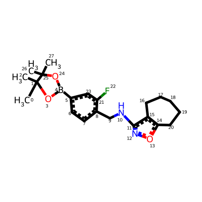 CC1(C)OB(c2ccc(CNc3noc4c3CCCCC4)c(F)c2)OC1(C)C